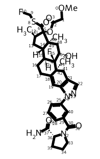 COCC(=O)O[C@]1(C(=O)SCF)[C@H](C)C[C@H]2[C@@H]3CCC4=Cc5c(cnn5-c5cccc(C(=O)N6CCC[C@@H]6C(N)=O)c5)C[C@]4(C)[C@@]3(F)[C@@H](O)C[C@@]21C